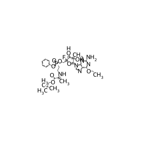 CCOc1nc(N)nc2c1ncn2[C@@H]1O[C@](F)(COP(=O)(CCN[C@@H](C)C(=O)OCC(C)(C)C)Oc2ccccc2)[C@@H](O)[C@@]1(C)O